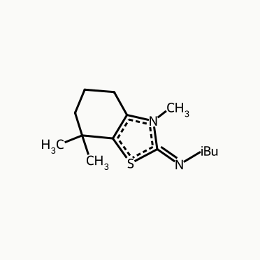 CCC(C)/N=c1/sc2c(n1C)CCCC2(C)C